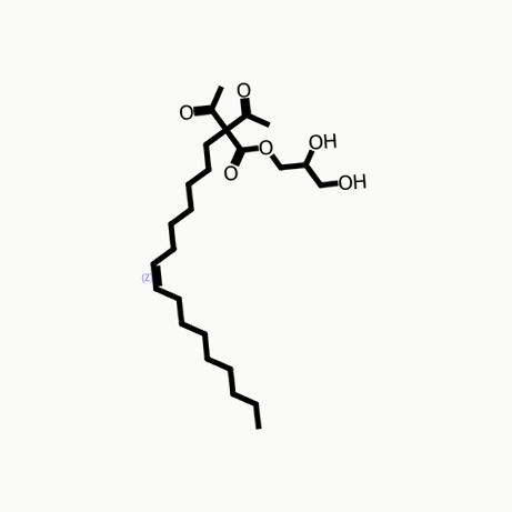 CCCCCCCC/C=C\CCCCCCC(C(C)=O)(C(C)=O)C(=O)OCC(O)CO